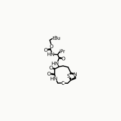 CC(C)C(NC(=O)OCC(C)(C)C)C(=O)NC1CCc2ncc(s2)CCCNC(=O)C1=O